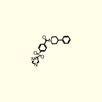 O=C(c1ccc(S(=O)(=O)n2cncn2)cc1)N1CCC(c2ccccc2)CC1